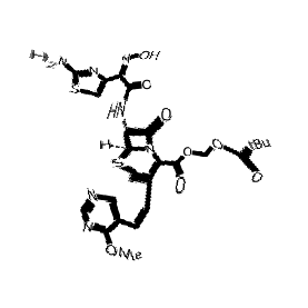 COc1ncncc1/C=C\C1=C(C(=O)OCOC(=O)C(C)(C)C)N2C(=O)[C@@H](NC(=O)/C(=N\O)c3csc(N)n3)[C@@H]2SC1